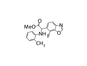 COC(=O)C(Nc1ccccc1C)c1ccc2ncoc2c1F